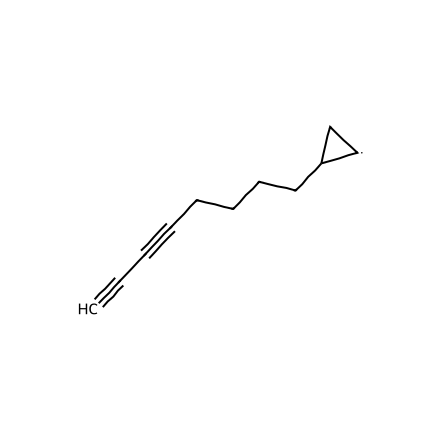 C#CC#CCCCCC1[CH]C1